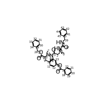 CN(CC(=O)NN(C)[C@@H](Cc1ccc(OC(=O)c2ccccc2)cc1)C(=O)OCc1ccccc1)NC(=O)NCc1ccccc1